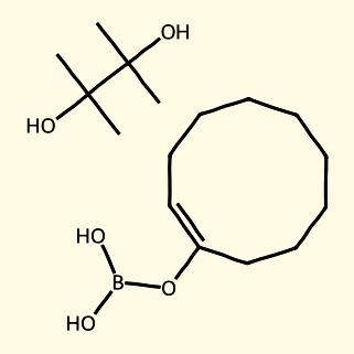 CC(C)(O)C(C)(C)O.OB(O)OC1=CCCCCCCCC1